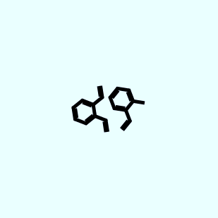 C=Cc1ccccc1C.C=Cc1ccccc1C=C